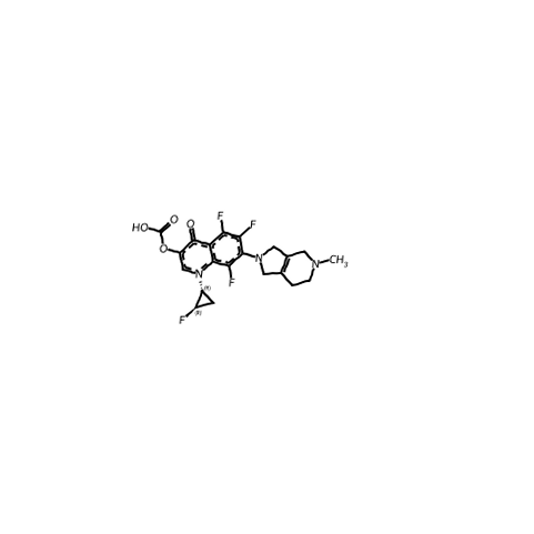 CN1CCC2=C(C1)CN(c1c(F)c(F)c3c(=O)c(OC(=O)O)cn([C@@H]4C[C@H]4F)c3c1F)C2